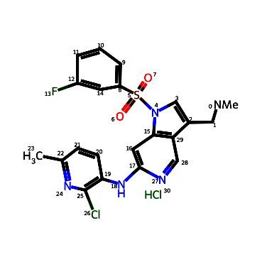 CNCc1cn(S(=O)(=O)c2cccc(F)c2)c2cc(Nc3ccc(C)nc3Cl)ncc12.Cl